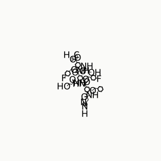 COC(=O)c1cc(NC(=O)CCO)c(NC(=O)c2cc(NC(=O)CCO)c(NC(=O)c3ccc(NC(=O)Cc4c[nH]cn4)c(OCc4ccccc4)c3)c(OCc3ccc(F)cc3)c2)c(OCc2ccc(F)cc2)c1